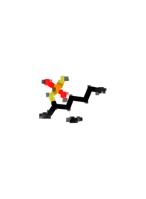 CCCCC(CCCCC(C)C)SP([O-])([O-])=S.[Zn+2]